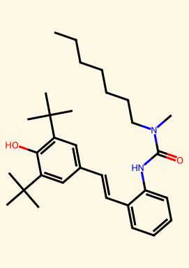 CCCCCCCN(C)C(=O)Nc1ccccc1C=Cc1cc(C(C)(C)C)c(O)c(C(C)(C)C)c1